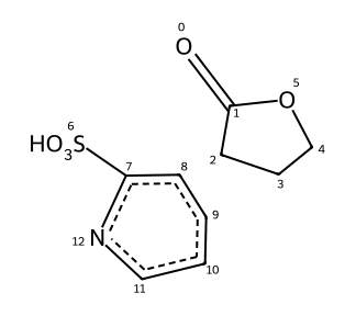 O=C1CCCO1.O=S(=O)(O)c1ccccn1